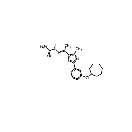 CC(=NNC(=N)N)c1sc(-c2cccc(OC3CCCCCC3)c2)nc1C